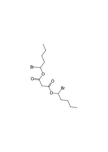 CCCCC(Br)OC(=O)CC(=O)OC(Br)CCCC